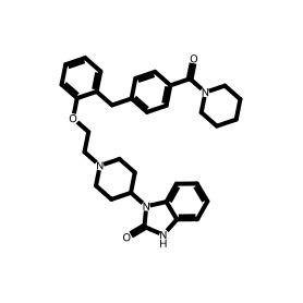 O=C(c1ccc(Cc2ccccc2OCCN2CCC(n3c(=O)[nH]c4ccccc43)CC2)cc1)N1CCCCC1